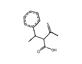 CC(=S)C(C(=O)O)C(C)c1ccccc1